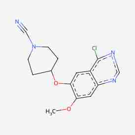 COc1cc2ncnc(Cl)c2cc1OC1CCN(C#N)CC1